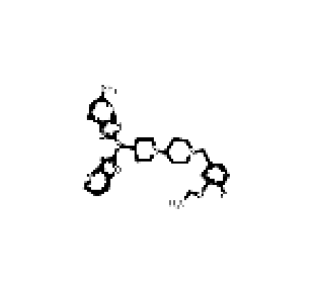 CCOc1cc(CN2CCC(N3CCC(N(c4nc5ncccc5o4)c4nc5nc(N)ccc5o4)CC3)CC2)ccc1Cl